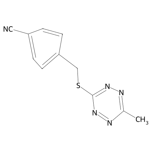 Cc1nnc(SCc2ccc(C#N)cc2)nn1